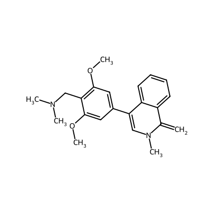 C=C1c2ccccc2C(c2cc(OC)c(CN(C)C)c(OC)c2)=CN1C